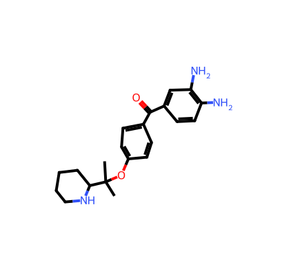 CC(C)(Oc1ccc(C(=O)c2ccc(N)c(N)c2)cc1)C1CCCCN1